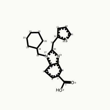 O=C(O)c1ccc2c(c1)nc(Cc1cccs1)n2CC1CCCCC1